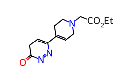 CCOC(=O)CN1CC=C(C2=CCC(=O)N=N2)CC1